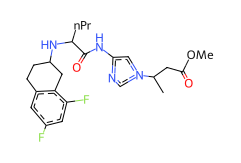 CCCC(NC1CCc2cc(F)cc(F)c2C1)C(=O)Nc1cn(C(C)CC(=O)OC)cn1